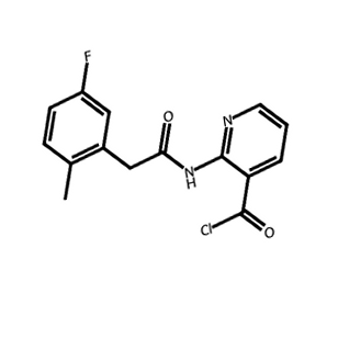 Cc1ccc(F)cc1CC(=O)Nc1ncccc1C(=O)Cl